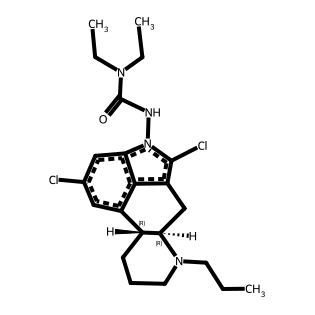 CCCN1CCC[C@@H]2c3cc(Cl)cc4c3c(c(Cl)n4NC(=O)N(CC)CC)C[C@H]21